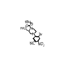 CC(C)(C)OC(=O)N1CCN(c2cc(C#N)c([N+](=O)[O-])cc2Br)C[C@H]1CO